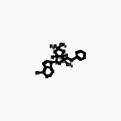 CC1(C)O[C@H]2[C@H](n3ccc4c(Cl)ncnc43)O[C@](C)(COc3ccccc3)[C@@H]2O1